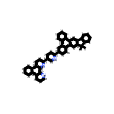 CC1(C)c2ccccc2-c2cc3c4ccccc4c4cc(-c5ccc(-c6ccc7c8ccccc8c8cccnc8c7n6)cn5)ccc4c3cc21